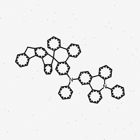 c1ccc(N(c2ccc3c(c2)-c2ccccc2N(c2ccccc2)c2ccccc2-3)c2ccc3c(c2)-c2ccccc2-c2ccccc2C32c3ccccc3-c3c2ccc2c3-c3ccccc3C2)cc1